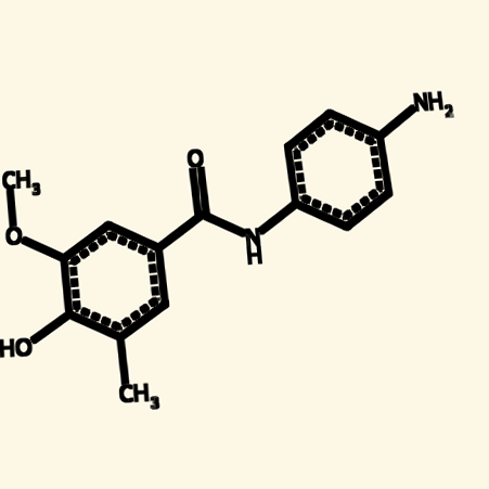 COc1cc(C(=O)Nc2ccc(N)cc2)cc(C)c1O